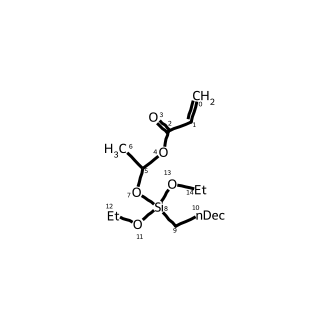 C=CC(=O)OC(C)O[Si](CCCCCCCCCCC)(OCC)OCC